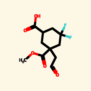 COC(=O)C1(CC=O)CC(C(=O)O)CC(F)(F)C1